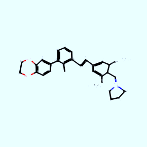 COC1=CC(/C=C/c2cccc(-c3ccc4c(c3)OCCO4)c2C)=CC(OC)C1CN1CCCC1